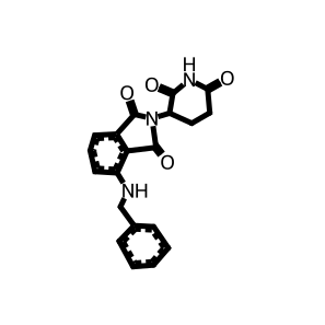 O=C1CCC(N2C(=O)c3cccc(NCc4ccccc4)c3C2=O)C(=O)N1